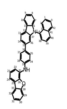 c1ccc2c(-n3c4ccccc4c4ccc(-c5ccc(Nc6cccc7c6oc6ccccc67)cc5)cc43)cccc2c1